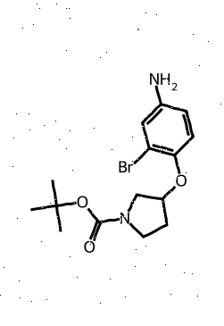 CC(C)(C)OC(=O)N1CCC(Oc2ccc(N)cc2Br)C1